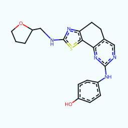 Oc1ccc(Nc2ncc3c(n2)-c2sc(NCC4CCCO4)nc2CC3)cc1